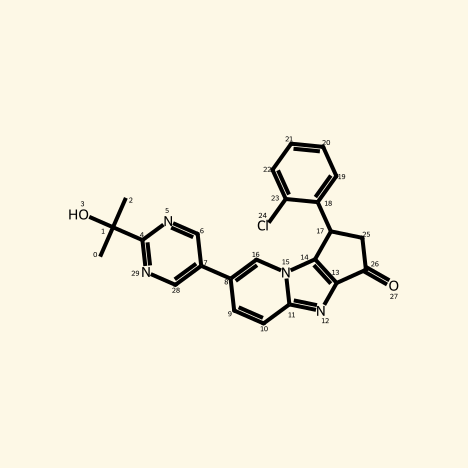 CC(C)(O)c1ncc(-c2ccc3nc4c(n3c2)C(c2ccccc2Cl)CC4=O)cn1